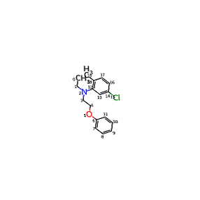 CCN(CCOc1ccccc1)c1cc(Cl)ccc1C